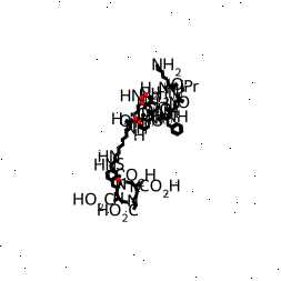 CC(C)C[C@H](NC(=O)[C@@H](N)CCCCN)C(=O)NCC(=O)N[C@@H](Cc1ccccc1)C(=O)N[C@@H](Cc1ccccc1)C(=O)N[C@@H](CCCCN)C(=O)N[C@@H](CCCNC(=N)N)C(=O)NCCCCCCNC(=S)Nc1ccc(CC2CN(CC(=O)O)CCN(CC(=O)O)CCN(CC(=O)O)CCN2CC(=O)O)cc1